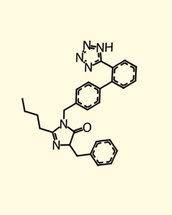 CCCCC1=NC(Cc2ccccc2)C(=O)N1Cc1ccc(-c2ccccc2-c2nnn[nH]2)cc1